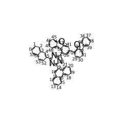 c1ccc2cc(-c3nc(-c4cc5ccccc5c5ccccc45)nc(-c4cc(-c5cccc6c5oc5ccccc56)cc5oc6ccccc6c45)n3)ccc2c1